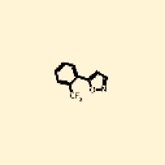 FC(F)(F)c1ccccc1-c1c[c]no1